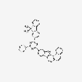 CC1(C)c2ccccc2-c2ccc(-c3nc(-c4ccccc4)nc(-c4ccc5c(c4)[se]c4c5ccc5ccc6ccccc6c54)n3)cc21